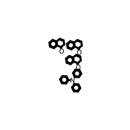 O=C1CC=Cc2ccccc21.O=C1CC=Cc2ccccc21.O=C1CC=Cc2ccccc21.c1ccc(N(c2ccccc2)c2ccccc2)cc1